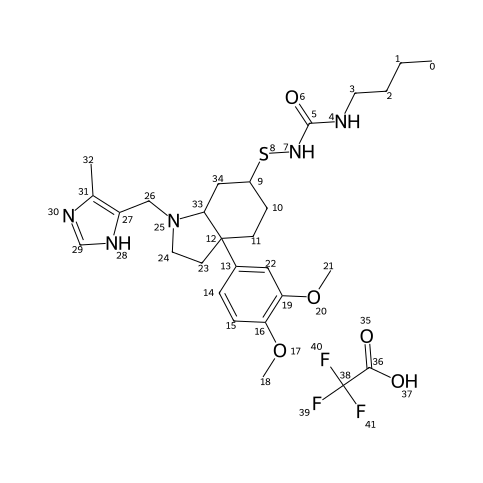 CCCCNC(=O)NSC1CCC2(c3ccc(OC)c(OC)c3)CCN(Cc3[nH]cnc3C)C2C1.O=C(O)C(F)(F)F